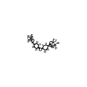 CC1(C)OB(c2ccc(Oc3ccc(COC(F)(F)F)cc3)cc2)OC1(C)C